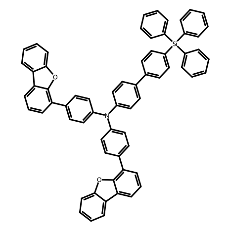 c1ccc([Si](c2ccccc2)(c2ccccc2)c2ccc(-c3ccc(N(c4ccc(-c5cccc6c5oc5ccccc56)cc4)c4ccc(-c5cccc6c5oc5ccccc56)cc4)cc3)cc2)cc1